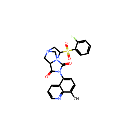 N#Cc1ccc(N2C(=O)C3CN4CC(S(=O)(=O)c5ccccc5F)[N+]3(C4)C2=O)c2cccnc12